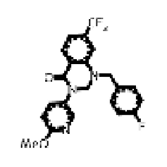 COc1ccc(N2CN(Cc3ccc(F)cc3)c3cc(C(F)(F)F)ccc3C2=O)cn1